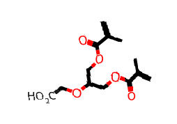 C=C(C)C(=O)OCC(COC(=O)C(=C)C)OCC(=O)O